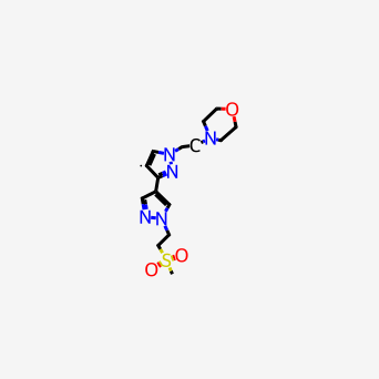 CS(=O)(=O)CCn1cc(-c2[c]cn(CCN3CCOCC3)n2)cn1